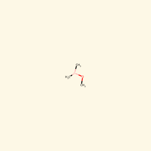 COB(C)C